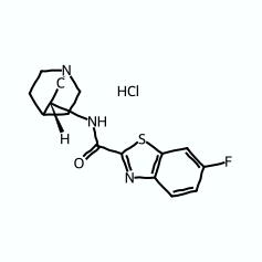 Cl.O=C(N[C@H]1CN2CCC1CC2)c1nc2ccc(F)cc2s1